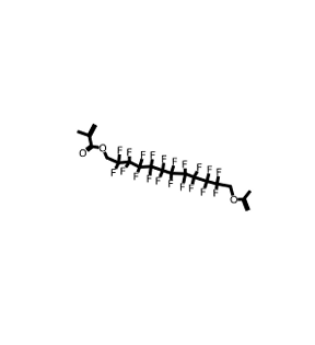 C=C(C)OCC(F)(F)C(F)(F)C(F)(F)C(F)(F)C(F)(F)C(F)(F)C(F)(F)C(F)(F)C(F)(F)C(F)(F)COC(=O)C(=C)C